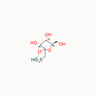 O=S(=O)(O)CC1(OF)O[C@H](CO)[C@@H](O)[C@H]1O